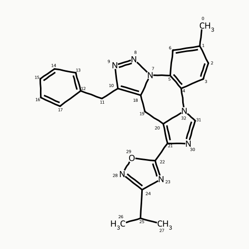 Cc1ccc2c(c1)-n1nnc(Cc3ccccc3)c1Cc1c(-c3nc(C(C)C)no3)ncn1-2